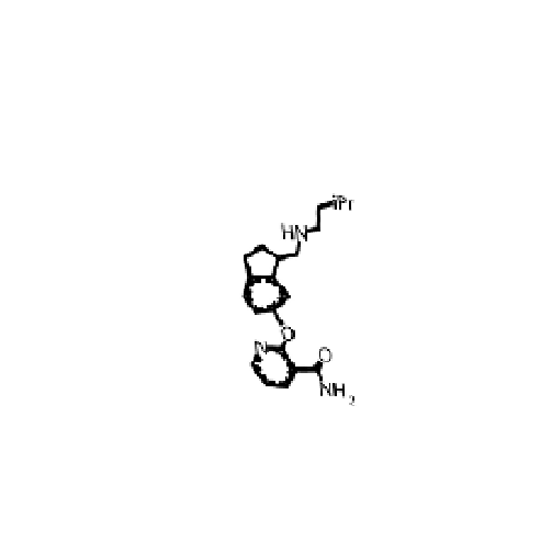 CC(C)CCNCC1CCc2ccc(Oc3ncccc3C(N)=O)cc21